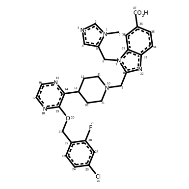 Cn1cncc1Cn1c(CN2CCC(c3nccnc3OCc3ccc(Cl)cc3F)CC2)nc2ccc(C(=O)O)cc21